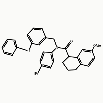 COc1ccc2c(c1)C(C(=O)N(Cc1cccc(Oc3ccccc3)c1)c1ccc(C(C)C)cc1)CCC2